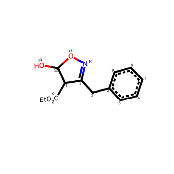 CCOC(=O)C1C(Cc2ccccc2)=NOC1O